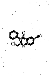 N#Cc1ccc2nc(CCl)n(-c3ccccc3)c(=O)c2c1